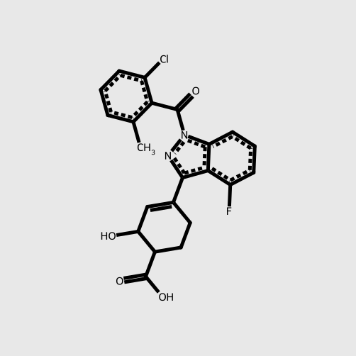 Cc1cccc(Cl)c1C(=O)n1nc(C2=CC(O)C(C(=O)O)CC2)c2c(F)cccc21